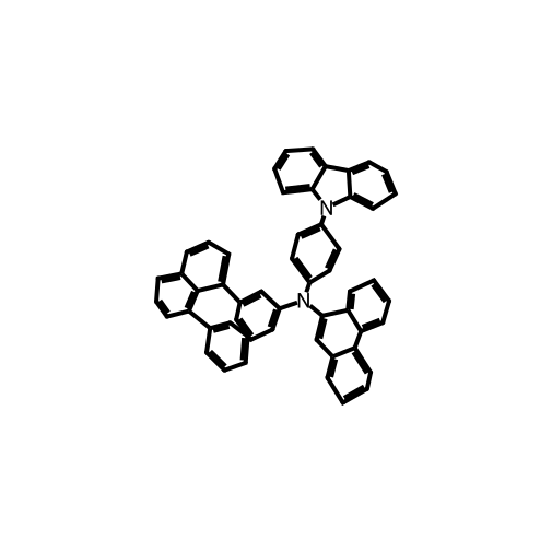 c1ccc(-c2cccc3cccc(-c4cccc(N(c5ccc(-n6c7ccccc7c7ccccc76)cc5)c5cc6ccccc6c6ccccc56)c4)c23)cc1